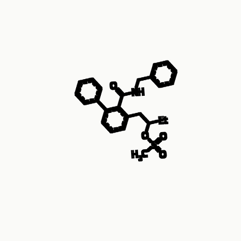 CCC(Cc1cccc(-c2ccccc2)c1C(=O)NCc1ccccc1)OS(C)(=O)=O